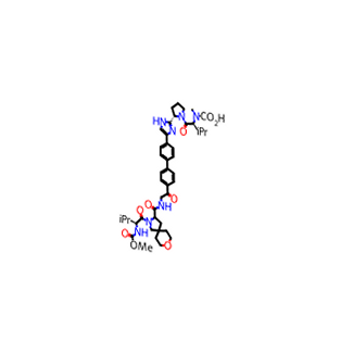 COC(=O)N[C@H](C(=O)N1CC2(CCOCC2)CC1C(=O)NCC(=O)c1ccc(-c2ccc(-c3c[nH]c([C@@H]4CCCN4C(=O)[C@H](C(C)C)N(C)C(=O)O)n3)cc2)cc1)C(C)C